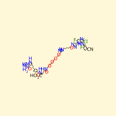 Cc1nc2cc(F)c(-c3cnc(OCCCCCn4cc(COCCOCCOCCOCCNC(=O)CC[C@H](NC(=O)c5ccc(CCc6c[nH]c7[nH]c(N)nc(=O)c67)cc5)C(=O)O)nn4)nc3)nc2c(N[C@H](C)c2cc(C#N)ccc2F)c1Cl